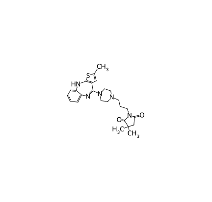 Cc1cc2c(s1)Nc1ccccc1N=C2N1CCN(CCCN2C(=O)CC(C)(C)C2=O)CC1